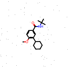 COc1ccc(C(=O)NC(C)(C)C)cc1C1CCCCC1